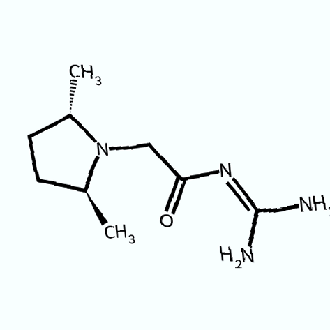 C[C@H]1CC[C@H](C)N1CC(=O)N=C(N)N